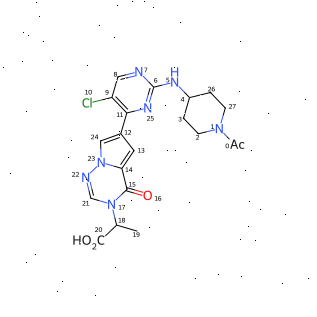 CC(=O)N1CCC(Nc2ncc(Cl)c(-c3cc4c(=O)n(C(C)C(=O)O)cnn4c3)n2)CC1